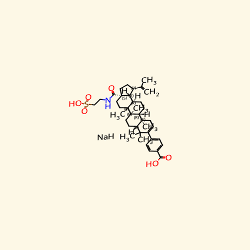 C=C(C)[C@@H]1CC[C@]2(C(=O)NCCS(=O)(=O)O)CC[C@]3(C)[C@H](CC[C@@H]4[C@@]5(C)CC=C(c6ccc(C(=O)O)cc6)C(C)(C)[C@@H]5CC[C@]43C)[C@@H]12.[NaH]